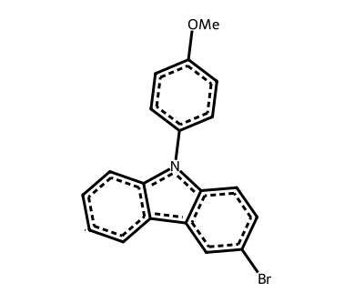 COc1ccc(-n2c3cc[c]cc3c3cc(Br)ccc32)cc1